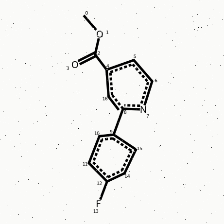 COC(=O)c1ccnc(-c2ccc(F)cc2)c1